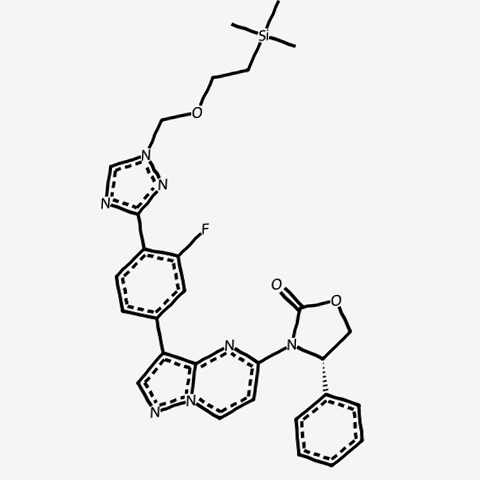 C[Si](C)(C)CCOCn1cnc(-c2ccc(-c3cnn4ccc(N5C(=O)OC[C@@H]5c5ccccc5)nc34)cc2F)n1